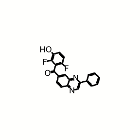 O=C(c1ccc2ncc(-c3ccccc3)nc2c1)c1c(F)ccc(O)c1F